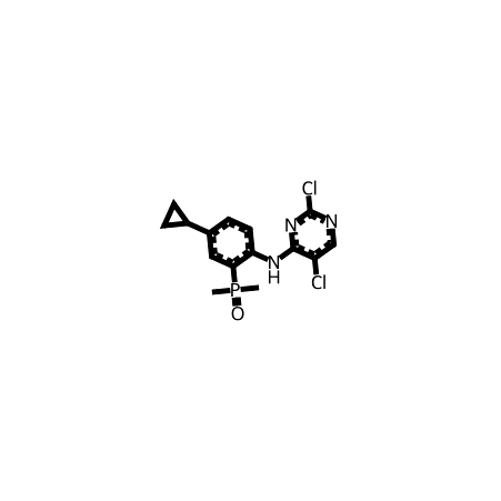 CP(C)(=O)c1cc(C2CC2)ccc1Nc1nc(Cl)ncc1Cl